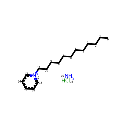 CCCCCCCCCCCC[n+]1ccccc1.Cl.N